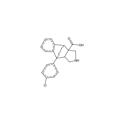 O=C(O)C12CNCC1C1(c3ccc(Cl)cc3)CCC2c2ccccc21